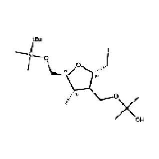 C[C@H]1C(COC(C)(C)O)[C@@H](CI)O[C@@H]1CO[Si](C)(C)C(C)(C)C